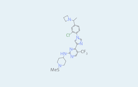 CSN1CCC(Nc2ncc(C(F)(F)F)c(-c3cn(-c4ccc(C(C)N5CCC5)cc4Cl)cn3)n2)CC1